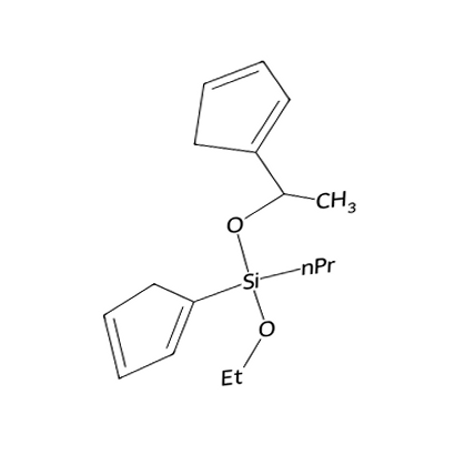 CCC[Si](OCC)(OC(C)C1=CC=CC1)C1=CC=CC1